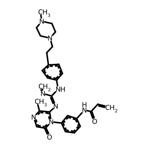 C=CC(=O)Nc1cccc(-n2c(/N=C(\N=C)Nc3ccc(CCN4CCN(C)CC4)cc3)c(C)ncc2=O)c1